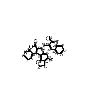 O=c1oc2ncccc2c2c3c4c(c(F)cc3n(Cc3cc5ccccc5nc3Cl)c12)CCO4